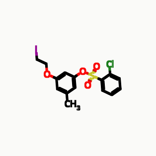 Cc1cc(OCCI)cc(OS(=O)(=O)c2ccccc2Cl)c1